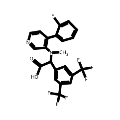 CN(c1cnccc1-c1ccccc1F)C(C(=O)O)c1cc(C(F)(F)F)cc(C(F)(F)F)c1